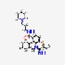 CC=C1Sc2ccc(C(=O)NCCCN3CCCCC3)cc2N(CC2CCCCC2)C1=N